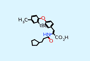 Cc1ccc(Oc2ccc(C=C(NC(=O)CCC3CCCC3)C(=O)O)cc2)c(C(C)(C)C)c1